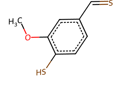 COc1cc(C=S)ccc1S